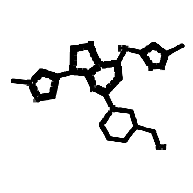 Cc1cc(Nc2cc(N3CCCC(CO)C3)nc3c(-c4cnn(C)c4)cnn23)sn1